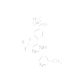 Cc1cncc(-c2nc(C(F)(F)F)c(-c3ccc(S(C)(=O)=O)cc3)[nH]2)c1